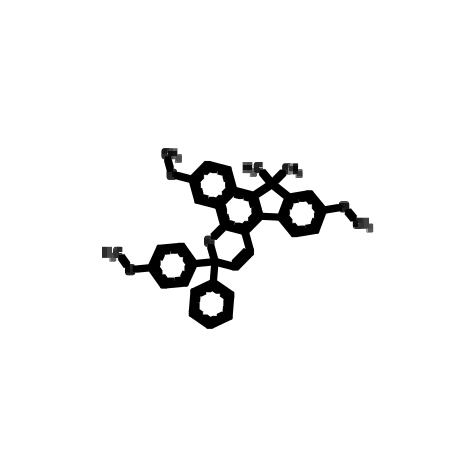 COc1ccc(C2(c3ccccc3)C=Cc3c4c(c5ccc(OC)cc5c3O2)C(C)(C)c2cc(OC)ccc2-4)cc1